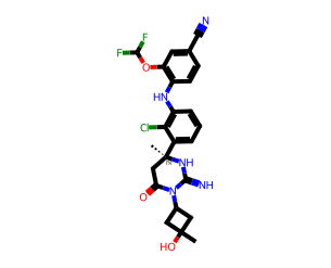 CC1(O)CC(N2C(=N)N[C@](C)(c3cccc(Nc4ccc(C#N)cc4OC(F)F)c3Cl)CC2=O)C1